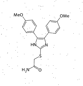 COc1ccc(-c2nc(SCC(N)=O)[nH]c2-c2ccc(OC)cc2)cc1